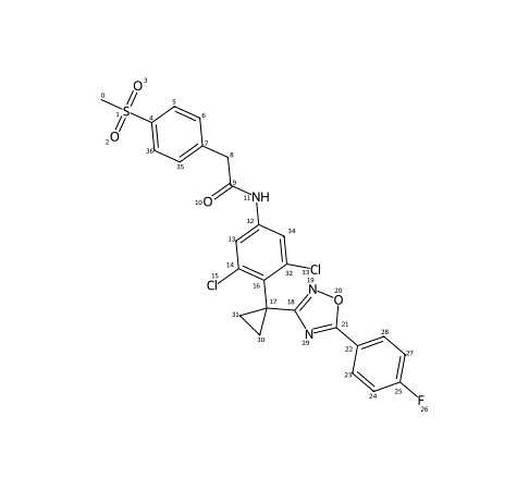 CS(=O)(=O)c1ccc(CC(=O)Nc2cc(Cl)c(C3(c4noc(-c5ccc(F)cc5)n4)CC3)c(Cl)c2)cc1